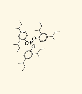 CCC(C)c1ccc(OP(Oc2ccc(C(C)CC)cc2C(C)CC)Oc2ccc(C(C)CC)cc2C(C)CC)c(C(C)CC)c1